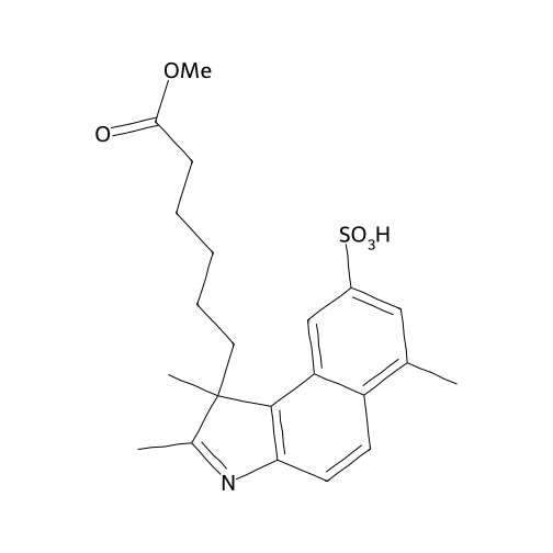 COC(=O)CCCCCC1(C)C(C)=Nc2ccc3c(C)cc(S(=O)(=O)O)cc3c21